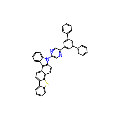 c1ccc(-c2cc(-c3ccccc3)cc(-c3cnc(-n4c5ccccc5c5c6ccc7c8ccccc8sc7c6ccc54)cn3)c2)cc1